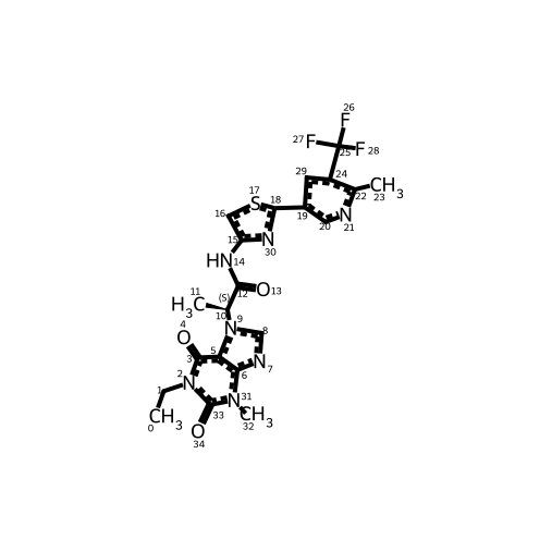 CCn1c(=O)c2c(ncn2[C@@H](C)C(=O)Nc2csc(-c3cnc(C)c(C(F)(F)F)c3)n2)n(C)c1=O